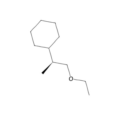 CCOC[C@@H](C)C1CCCCC1